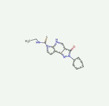 CCNC(=S)n1ccc2c3nn(-c4ccccc4)c(=O)c-3c[nH]c21